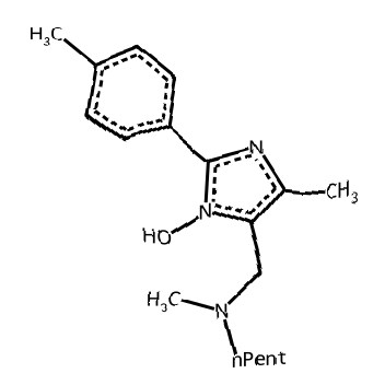 CCCCCN(C)Cc1c(C)nc(-c2ccc(C)cc2)n1O